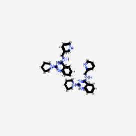 c1ccc(CNc2nc(N3CCCCC3)nc3ccccc23)nc1.c1cncc(CNc2nc(N3CCCCC3)nc3ccccc23)c1